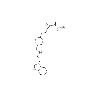 CCCNNC1OC1CCC1CCC(CNCCC2CNC3CCCCC23)CC1